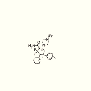 Cc1ccc(C2(C)C[C@@H](N3CCN(C(C)C)CC3)N(C(N)=O)C(F)(F)C2C2CCCCC2)cc1